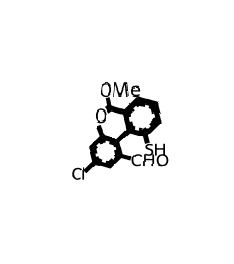 COC(=O)c1cccc(S)c1-c1c(C)cc(Cl)cc1C=O